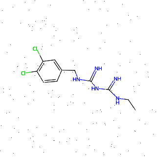 CCNC(=N)NC(=N)NCc1ccc(Cl)c(Cl)c1